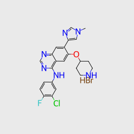 Br.Cn1cnc(-c2cc3ncnc(Nc4ccc(F)c(Cl)c4)c3cc2OC2CCNCC2)c1